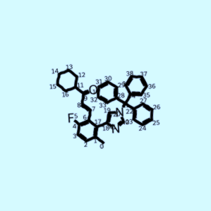 Cc1ccc(F)c(/C=C/C(=O)C2CCCCC2)c1-c1cn(C(c2ccccc2)(c2ccccc2)c2ccccc2)cn1